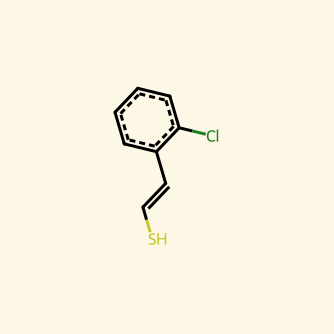 SC=Cc1ccccc1Cl